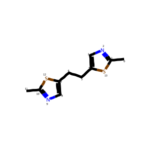 Cc1ncc(CCc2cnc(C)s2)s1